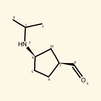 CC(C)N[C@@H]1CC[C@H](C=O)C1